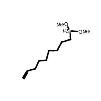 C=CCCCCCCC[SiH](OC)OC